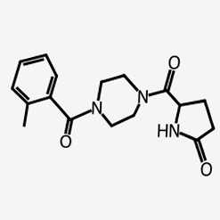 Cc1ccccc1C(=O)N1CCN(C(=O)C2CCC(=O)N2)CC1